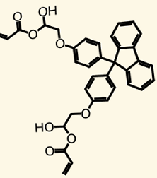 C=CC(=O)OC(O)COc1ccc(C2(c3ccc(OCC(O)OC(=O)C=C)cc3)c3ccccc3-c3ccccc32)cc1